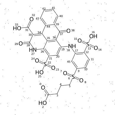 O=C(O)CCCS(=O)(=O)c1ccc(S(=O)(=O)O)c(Nc2cc(S(=O)(=O)O)c3[nH]c(=O)c(C(=O)O)c4c3c2C(=O)c2ccccc2-4)c1